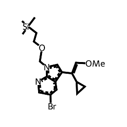 CO/C=C(/c1cn(COCC[Si](C)(C)C)c2ncc(Br)cc12)C1CC1